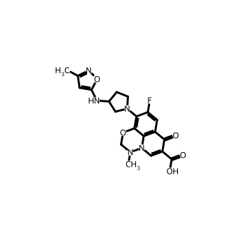 Cc1cc(NC2CCN(c3c(F)cc4c(=O)c(C(=O)O)cn5c4c3OCN5C)C2)on1